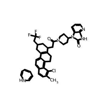 C1=CC=CNC=C1.Cc1ccc2ccc3c(c2c1Cl)CCC1=C3CC(CC(F)(F)F)CC1CC(=O)N1CCC(n2c(=O)[nH]c3ncccc32)CC1